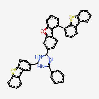 c1ccc(C2=NC(c3ccc4c(c3)oc3cccc(-c5cccc6c5sc5ccccc56)c34)NC(c3ccc4sc5ccccc5c4c3)N2)cc1